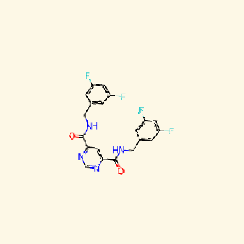 O=C(NCc1cc(F)cc(F)c1)c1cc(C(=O)NCc2cc(F)cc(F)c2)ncn1